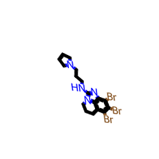 Brc1c(Br)c2c3c(nc(NCCCN4CCCC4)n3CCC2)c1Br